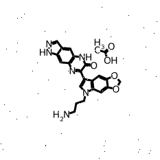 CC(=O)O.NCCCn1cc(-c2nc3cc4[nH]ncc4cc3[nH]c2=O)c2cc3c(cc21)OCO3